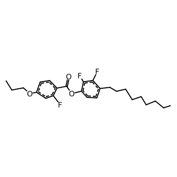 CCCCCCCCCc1ccc(OC(=O)c2ccc(OCCC)cc2F)c(F)c1F